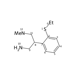 CCSc1ccccc1C(CN)CNC